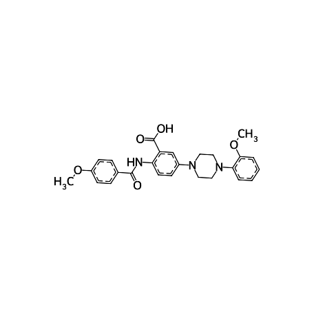 COc1ccc(C(=O)Nc2ccc(N3CCN(c4ccccc4OC)CC3)cc2C(=O)O)cc1